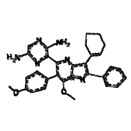 COc1ccc(-c2c(-c3nc(N)cnc3N)nc3c(C4=CCCCC4)c(-c4ccccc4)nn3c2OC)cc1